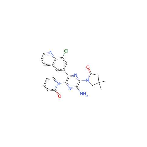 CC1(C)CC(=O)N(c2nc(-c3cc(Cl)c4ncccc4c3)c(-n3ccccc3=O)nc2N)C1